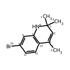 CC1=CC(C)(C)Nc2cc(Br)ccc21